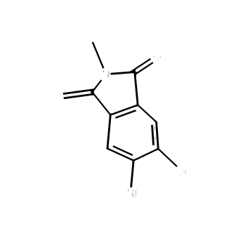 CN1C(=O)c2cc(N)c(Br)cc2C1=O